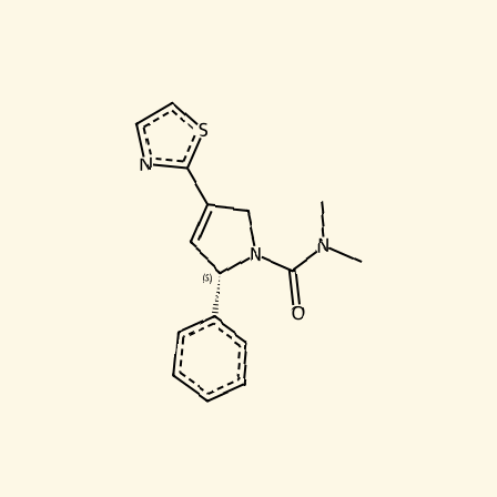 CN(C)C(=O)N1CC(c2nccs2)=C[C@H]1c1ccccc1